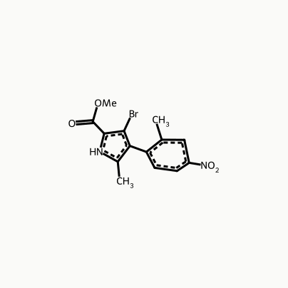 COC(=O)c1[nH]c(C)c(-c2ccc([N+](=O)[O-])cc2C)c1Br